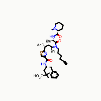 C#CCCCCN(C(=O)[C@@H](NC(=O)[C@H]1CCCCN1C)[C@@H](C)CC)[C@H](C[C@@H](OC(C)=O)c1nc(C(=O)N[C@@H](Cc2ccccc2)CC(C)(C)C(=O)O)cs1)C(C)C